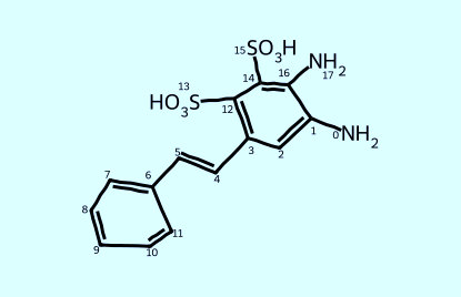 Nc1cc(C=Cc2ccccc2)c(S(=O)(=O)O)c(S(=O)(=O)O)c1N